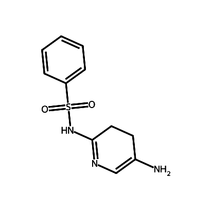 NC1=CN=C(NS(=O)(=O)c2ccccc2)CC1